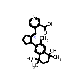 Cc1cc2c(cc1C1CCC/C1=C\c1ccncc1C(=O)O)C(C)(C)CCC2(C)C